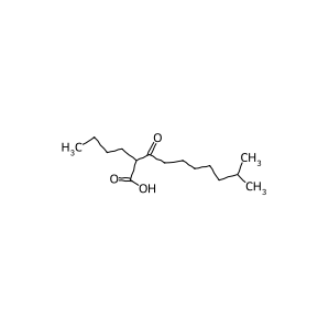 CCCCC(C(=O)O)C(=O)CCCCCC(C)C